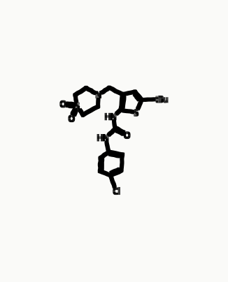 CC(C)(C)c1cc(CN2CCS(=O)(=O)CC2)c(NC(=O)Nc2ccc(Cl)cc2)s1